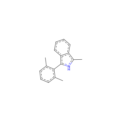 Cc1cccc(C)c1-c1[nH]c(C)c2ccccc12